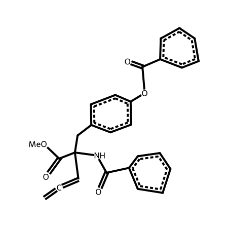 C=C=CC(Cc1ccc(OC(=O)c2ccccc2)cc1)(NC(=O)c1ccccc1)C(=O)OC